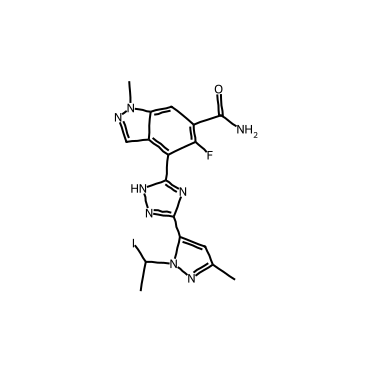 Cc1cc(-c2n[nH]c(-c3c(F)c(C(N)=O)cc4c3cnn4C)n2)n(C(C)I)n1